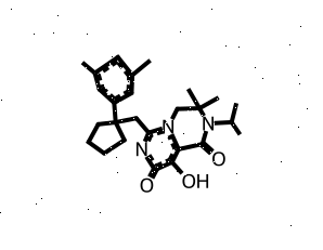 Cc1cc(C)cc(C2(Cc3nc(=O)c(O)c4n3CC(C)(C)N(C(C)C)C4=O)CCCC2)c1